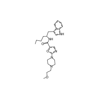 CCCCC(Cc1c[nH]c2ccccc12)NC(=O)c1cnc(N2CCN(CCOC)CC2)o1